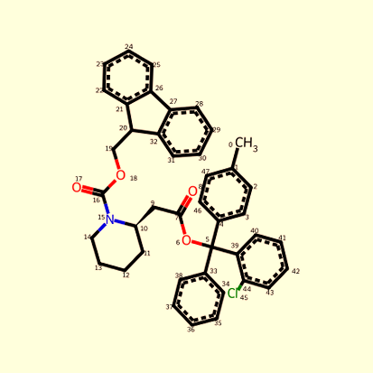 Cc1ccc(C(OC(=O)C[C@H]2CCCCN2C(=O)OCC2c3ccccc3-c3ccccc32)(c2ccccc2)c2ccccc2Cl)cc1